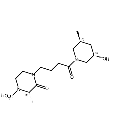 C[C@H]1C[C@H](O)CN(C(=O)CCCN2CCN(C(=O)O)[C@@H](C)C2=O)C1